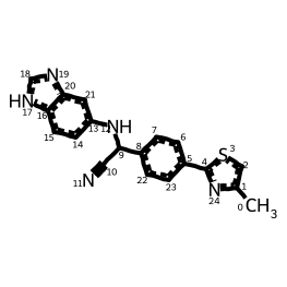 Cc1csc(-c2ccc(C(C#N)Nc3ccc4[nH]cnc4c3)cc2)n1